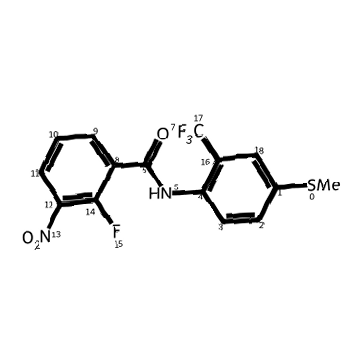 CSc1ccc(NC(=O)c2cccc([N+](=O)[O-])c2F)c(C(F)(F)F)c1